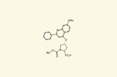 COc1ccc2c(O[C@@H]3CC(C(=O)O)N(C(=O)OC(C)(C)C)C3)cc(-c3ccccc3)nc2c1